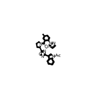 CC(=O)n1cc(-c2noc(C3CCCN3C(=O)c3cc(C)ccc3-n3nccn3)n2)c2ccccc21